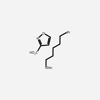 CCCCCCCCCCCCCCCC(C)C.O=C(O)c1ccon1